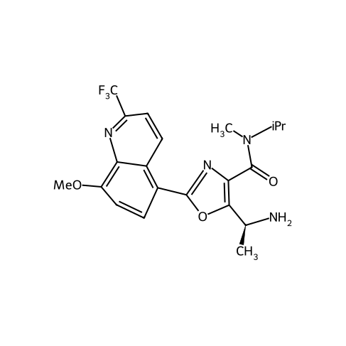 COc1ccc(-c2nc(C(=O)N(C)C(C)C)c([C@H](C)N)o2)c2ccc(C(F)(F)F)nc12